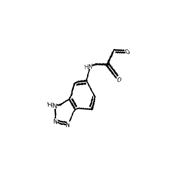 O=CC(=O)Nc1ccc2nn[nH]c2c1